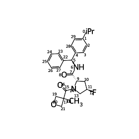 CC(C)c1ccc([C@@H](NC(=O)[C@@H]2C[C@@H](F)CN2C(=O)C2(C)COC2)c2ccccc2)cc1